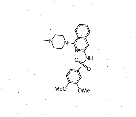 COc1ccc(S(=O)(=O)Nc2cc3ccccc3c(N3CCN(C)CC3)n2)cc1OC